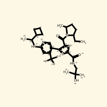 CCC1CCC(C)N1C(=O)c1nc(C(=O)NCC(C)(C)O)sc1-c1cnc(NC(C)C2CCC2)cc1C(F)(F)F